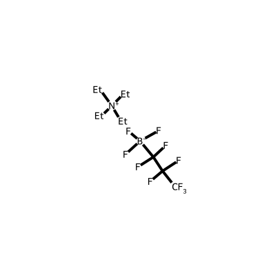 CC[N+](CC)(CC)CC.F[B-](F)(F)C(F)(F)C(F)(F)C(F)(F)F